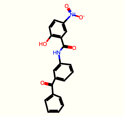 O=C(c1ccccc1)c1cccc(NC(=O)c2cc([N+](=O)[O-])ccc2O)c1